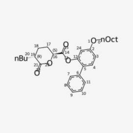 CCCCCCCCOc1ccc(-c2ccccc2)c(OC(=O)[C@@H]2CC[C@@H](CCCC)C(=O)O2)c1